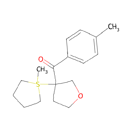 Cc1ccc(C(=O)C2(S3(C)CCCC3)CCOC2)cc1